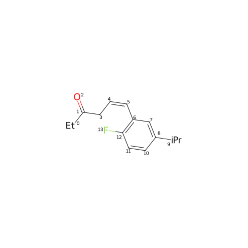 CCC(=O)C/C=C\c1cc(C(C)C)ccc1F